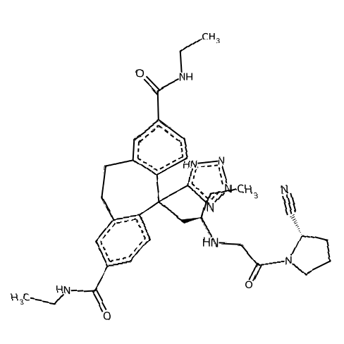 CCNC(=O)c1ccc2c(c1)CCc1cc(C(=O)NCC)ccc1C2(C[C@@H](CC)NCC(=O)N1CCC[C@H]1C#N)c1nnn[nH]1